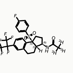 [2H]C([2H])([2H])C(=O)N[C@@H]1CC[C@@]2(S(=O)(=O)c3ccc(F)cc3)c3ccc(C(F)(C(F)(F)F)C(F)(F)F)cc3CC[C@@H]12